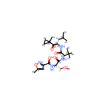 COC[C@H](NC(=O)c1cc(C)on1)C(=O)N[C@H](C(=O)N[C@@H](CC(C)C)C(=O)C1(C)CC1)C(C)(C)C